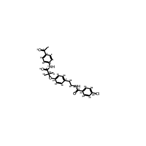 CC(=O)c1ccc(NC(=O)C(C)(C)Oc2ccc(CCNC(=O)c3ccc(Cl)cc3)cc2)cc1